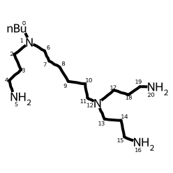 CCCCN(CCCN)CCCCCCN(CCCN)CCCN